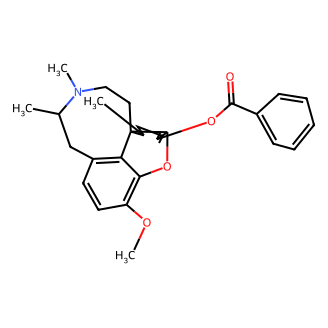 COc1ccc2c3c1OC1C(OC(=O)c4ccccc4)=CCC(C)C31CCN(C)C(C)C2